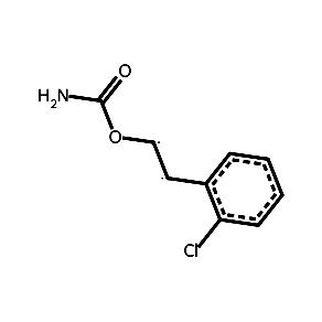 NC(=O)O[CH][CH]c1ccccc1Cl